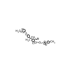 CSc1nccc(COc2ccc(C(C)(C)c3cc(Cl)c(OCCOCCOS(=O)(=O)c4ccc(C)cc4)c(C#N)c3)cc2)n1